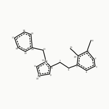 Cc1cccc(CCc2cncn2Cc2ccccc2)c1C